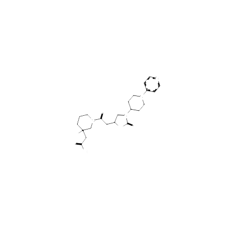 O=C(O)CC1(O)CCCN(C(=O)CC2CN(C3CCN(c4ccncc4)CC3)C(=O)O2)C1